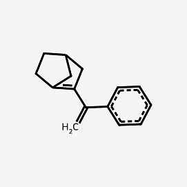 C=C(C1=C2CCC(C2)C1)c1ccccc1